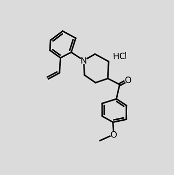 C=Cc1ccccc1N1CCC(C(=O)c2ccc(OC)cc2)CC1.Cl